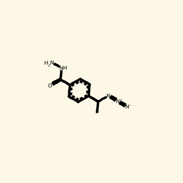 CC(N=[N+]=[N-])c1ccc(C(=O)NN)cc1